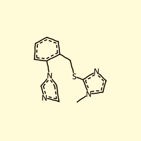 Cn1ccnc1SCc1ccccc1-n1ccnc1